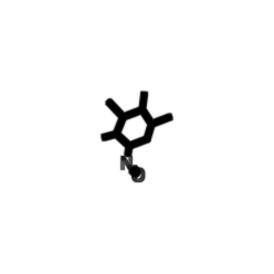 CC1CC(N=O)C(C)C(C)C1C